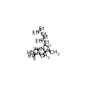 CCP(CC)CC.CCP(CC)CC.CN1CCNC1=S.CN1CCNC1=S.[Pt]